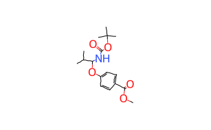 COC(=O)c1ccc(OC(NC(=O)OC(C)(C)C)C(C)C)cc1